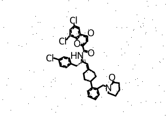 O=C(N[C@@H](C=C1CCC(c2ccccc2CN2CCCCC2=O)CC1)Cc1ccc(Cl)cc1)c1cc(=O)c2cc(Cl)cc(Cl)c2o1